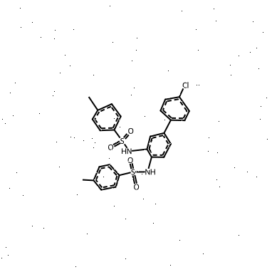 Cc1ccc(S(=O)(=O)Nc2ccc(-c3ccc(Cl)cc3)cc2NS(=O)(=O)c2ccc(C)cc2)cc1